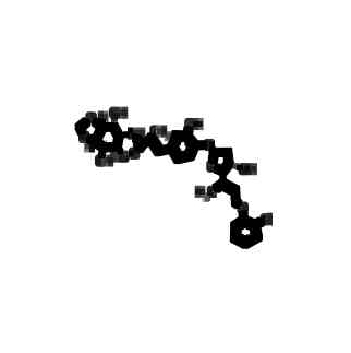 C/C(=C\c1ccc(O[C@H]2C[C@H](O)[C@@H](/C(C)=C/COc3ccccc3Cl)O2)c(O)c1)C(=O)N[C@@H]1[C@H](O)[C@@H](O)[C@H]2OCO[C@H]2[C@@H]1O